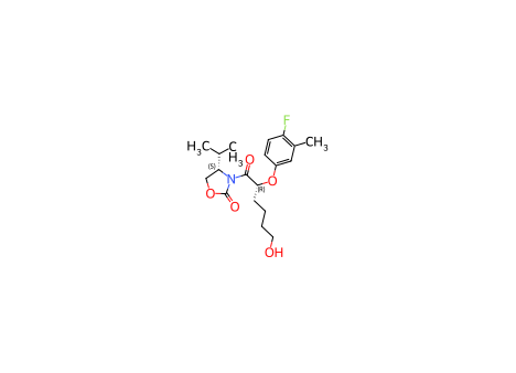 Cc1cc(O[C@H](CCCCO)C(=O)N2C(=O)OC[C@@H]2C(C)C)ccc1F